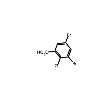 O=C(O)c1cc(Br)cc(Br)c1Cl